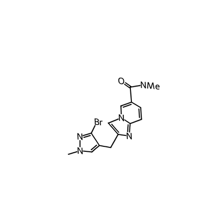 CNC(=O)c1ccc2nc(Cc3cn(C)nc3Br)cn2c1